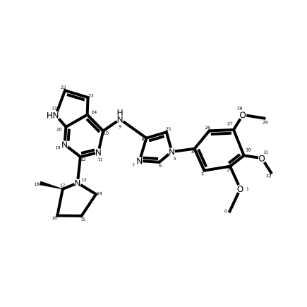 COc1cc(-n2cnc(Nc3nc(N4CCC[C@H]4C)nc4[nH]ccc34)c2)cc(OC)c1OC